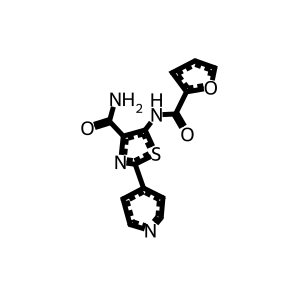 NC(=O)c1nc(-c2ccncc2)sc1NC(=O)c1ccco1